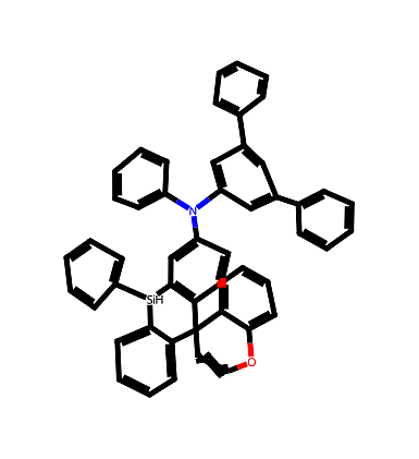 c1ccc(-c2cc(-c3ccccc3)cc(N(c3ccccc3)c3ccc4c(c3)[SiH](c3ccccc3)c3ccccc3C43c4ccccc4Oc4ccccc43)c2)cc1